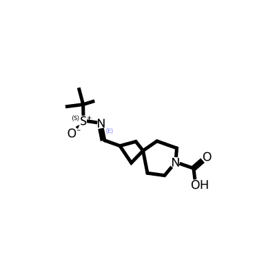 CC(C)(C)[S@@+]([O-])/N=C/C1CC2(CCN(C(=O)O)CC2)C1